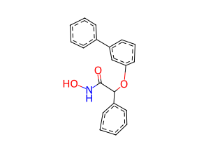 O=C(NO)C(Oc1cccc(-c2ccccc2)c1)c1ccccc1